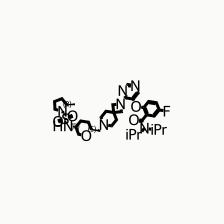 CC(C)N(C(=O)c1cc(F)ccc1Oc1cncnc1N1CC2(CCN(C[C@@H]3CC[C@@H](NS(=O)(=O)N4CCC[C@H]4C)CO3)CC2)C1)C(C)C